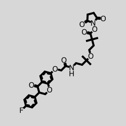 CC(C)(CCNC(=O)COc1ccc2c(c1)OCC(c1ccc(F)cc1)C2=O)OCCC(C)(C)C(=O)ON1C(=O)CCC1=O